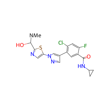 CNC(O)c1ncc(-n2cc(-c3cc(C(=O)NC4CC4)c(F)cc3Cl)cn2)s1